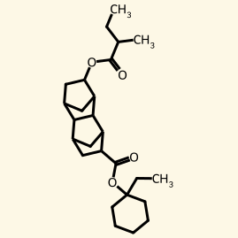 CCC(C)C(=O)OC1CC2CC1C1C3CC(CC3C(=O)OC3(CC)CCCCC3)C21